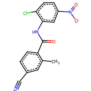 Cc1cc(C#N)ccc1C(=O)Nc1cc([N+](=O)[O-])ccc1Cl